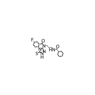 O=C(NCCCn1c(=O)c2cc(F)ccc2n2c(=S)[nH]nc12)c1ccccc1